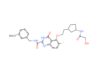 COc1cccc(CNC(=O)c2nc3ccc(F)c(OCCC4CCC(NC(=O)CO)C4)c3c(=O)[nH]2)c1